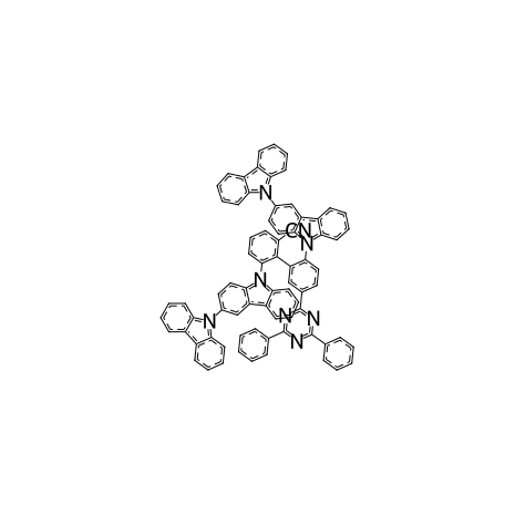 N#Cc1cccc(-n2c3ccccc3c3cc(-n4c5ccccc5c5ccccc54)ccc32)c1-c1cc(-c2nc(-c3ccccc3)nc(-c3ccccc3)n2)ccc1-n1c2ccccc2c2cc(-n3c4ccccc4c4ccccc43)ccc21